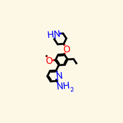 CCc1cc(-c2cccc(N)n2)c(OC)cc1OC1CCNCC1